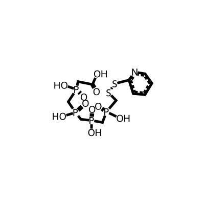 O=C(O)CP(=O)(O)CP(=O)(O)CP(=O)(O)CP(=O)(O)CSSc1ccccn1